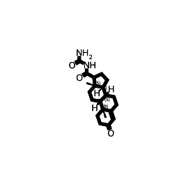 C[C@]12CCC(=O)C=C1CC[C@@H]1[C@H]2CC[C@]2(C)C(C(=O)NC(N)=O)CC[C@@H]12